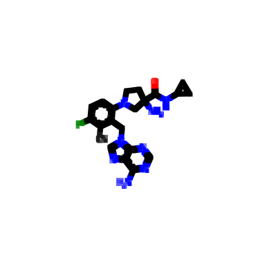 N#Cc1c(F)ccc(N2CCC(N)(C(=O)NC3CC3)C2)c1Cn1cnc2c(N)ncnc21